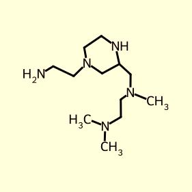 CN(C)CCN(C)CC1CN(CCN)CCN1